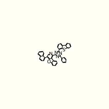 c1ccc(-c2nc(-c3cccc4c3sc3ccccc34)nc(-c3ncc(-c4cccc5ccccc45)c4oc5ccccc5c34)n2)cc1